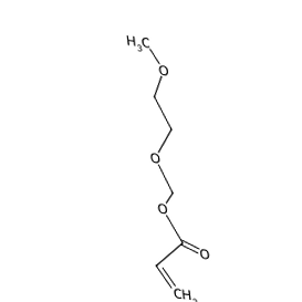 C=CC(=O)OCOCCOC